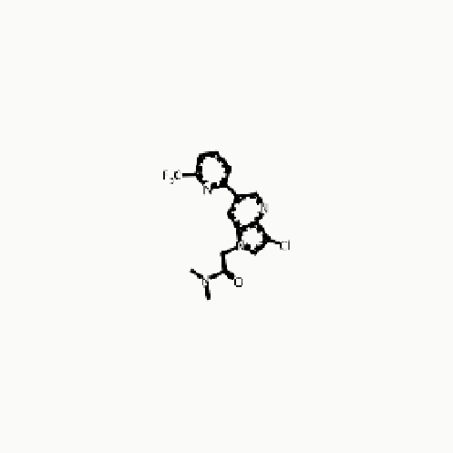 CN(C)C(=O)Cn1cc(Cl)c2ncc(-c3cccc(C(F)(F)F)n3)cc21